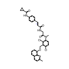 Cc1ccc2cccc(OCc3c(Cl)ccc(N(C)C(=O)CNC(=O)/C=C/c4ccc(NC(=O)C5CC5)cc4)c3Cl)c2n1